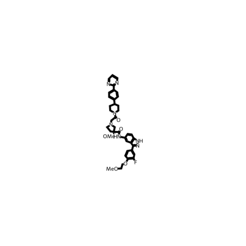 COCCOc1ccc(-c2n[nH]c3ccc(NC(=O)[C@]4(OC)CCN(CC(=O)N5CCC(c6ccc(-c7ncccn7)cc6)CC5)C4)cc23)cc1F